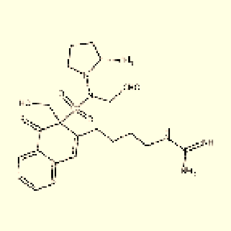 CC1CCCN1N(CC=O)S(=O)(=O)C1(CO)C(=S)c2ccccc2C=C1CCCCNC(=N)N